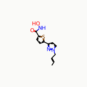 C/C=C/Cn1ccc(-c2ccc(C(=O)NO)s2)n1